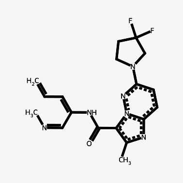 C=C/C=C(\C=N/C)NC(=O)c1c(C)nc2ccc(N3CCC(F)(F)C3)nn12